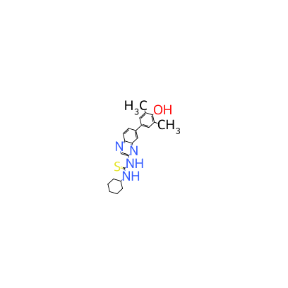 Cc1cc(-c2ccc3ncc(NC(=S)NC4CCCCC4)nc3c2)cc(C)c1O